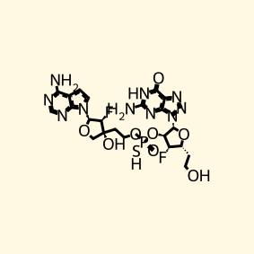 Nc1nc2c(nnn2[C@@H]2O[C@H](CCO)[C@H](F)[C@H]2OP(=O)(S)OCC[C@]2(O)CO[C@@H](n3ccc4c(N)ncnc43)[C@H]2F)c(=O)[nH]1